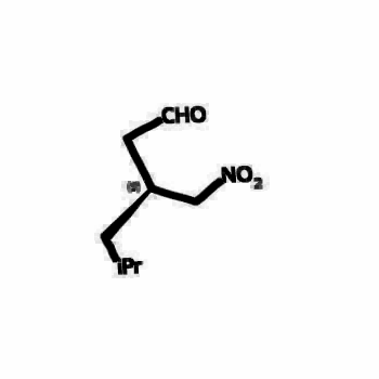 CC(C)C[C@@H](CC=O)C[N+](=O)[O-]